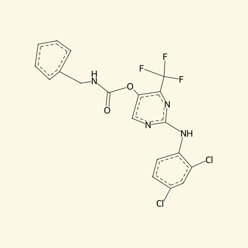 O=C(NCc1ccccc1)Oc1cnc(Nc2ccc(Cl)cc2Cl)nc1C(F)(F)F